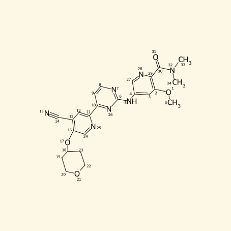 COc1cc(Nc2nccc(-c3cc(C#N)c(OC4CCOCC4)cn3)n2)cnc1C(=O)N(C)C